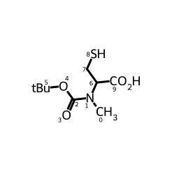 CN(C(=O)OC(C)(C)C)C(CS)C(=O)O